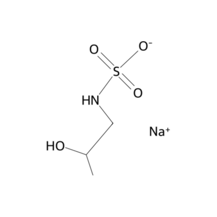 CC(O)CNS(=O)(=O)[O-].[Na+]